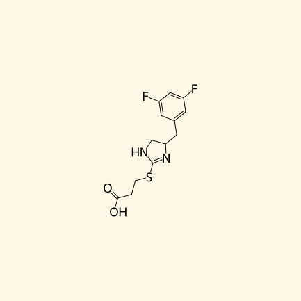 O=C(O)CCSC1=NC(Cc2cc(F)cc(F)c2)CN1